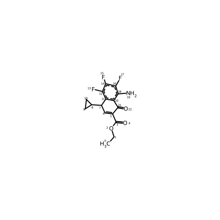 CCOC(=O)C1=CC(C2CC2)c2c(F)c(F)c(F)c(N)c2C1=O